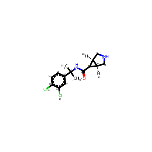 CC(C)(NC(=O)C1[C@H]2CNC[C@@H]12)c1ccc(Cl)c(Cl)c1